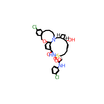 O=C(C[C@H]1CC/C=C/[C@H](O)[C@@H]2CC[C@H]2CN2CCCCc3cc(Cl)ccc3COc3ccc(cc32)C(=O)NS1(=O)=O)Nc1cccc(Cl)c1